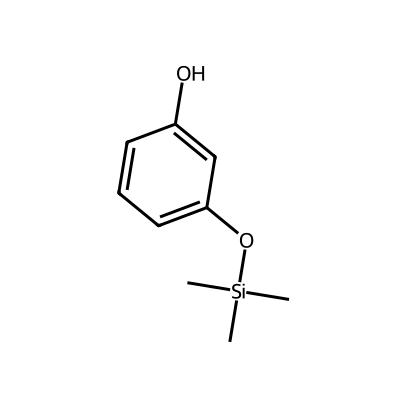 C[Si](C)(C)Oc1cccc(O)c1